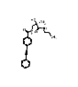 C[C@@](O)(CNC(=O)c1ccc(C#Cc2ccccc2)cc1)C(=O)NCCN